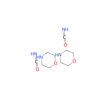 C1COCCN1.C1COCCN1.N=C=O.N=C=O